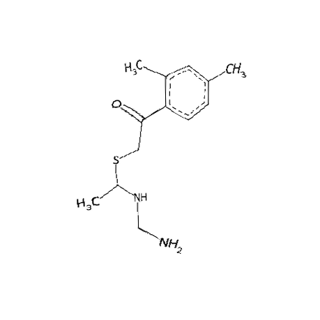 Cc1ccc(C(=O)CSC(C)NCN)c(C)c1